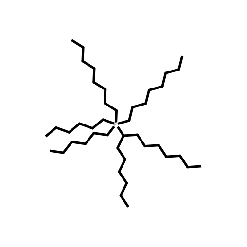 CCCCCCCCP(CCCCCC)(CCCCCC)(CCCCCCCC)C(CCCCCC)CCCCCCC